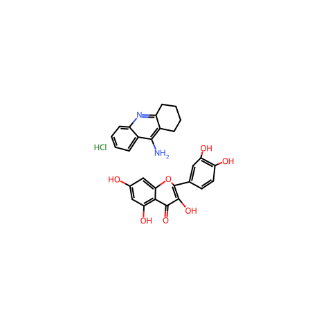 Cl.Nc1c2c(nc3ccccc13)CCCC2.O=c1c(O)c(-c2ccc(O)c(O)c2)oc2cc(O)cc(O)c12